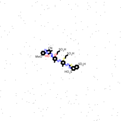 COc1ccc2nc3c(C#N)c(C)c(N=Nc4cc(C)c(N=Nc5cc(C)c(N=Nc6nc7c(S(=O)(=O)O)cc8ccc(S(=O)(=O)O)cc8c7s6)cc5SCCCS(=O)(=O)O)cc4OCCCS(=O)(=O)O)c(O)n3c2c1